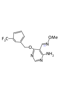 CO/N=C/c1c(N)ncnc1OCc1cccc(C(F)(F)F)c1